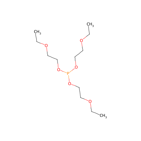 CCOCCOP(OCCOCC)OCCOCC